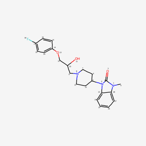 Cn1c(=O)n(C2CCN(CC(O)COc3ccc(F)cc3)CC2)c2ccccc21